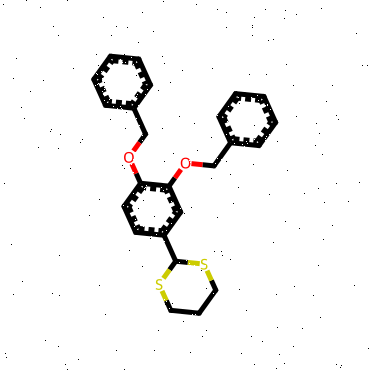 c1ccc(COc2ccc(C3SCCCS3)cc2OCc2ccccc2)cc1